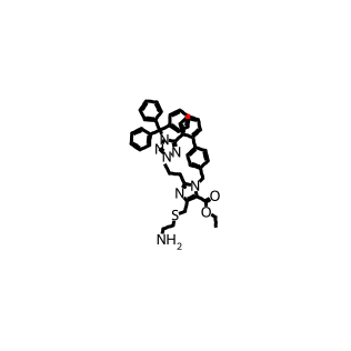 CCCc1nc(CSCCN)c(C(=O)OCC)n1Cc1ccc(-c2ccccc2-c2nnnn2C(c2ccccc2)(c2ccccc2)c2ccccc2)cc1